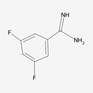 N=C(N)c1cc(F)[c]c(F)c1